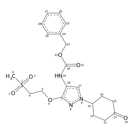 CS(=O)(=O)CCOc1nn(C2CCC(=O)CC2)cc1NC(=O)OCc1ccccc1